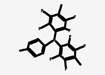 Cc1ccc(N(c2c(F)c(F)c(C)c(F)c2F)c2c(F)c(F)c(C)c(F)c2F)cc1